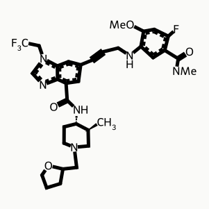 CNC(=O)c1cc(NCC#Cc2cc(C(=O)N[C@H]3CCN(CC4CCCO4)C[C@@H]3C)c3ncn(CC(F)(F)F)c3c2)c(OC)cc1F